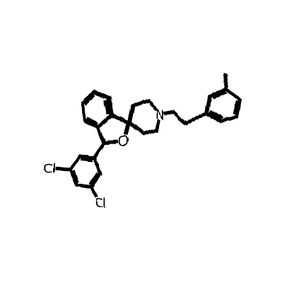 Cc1cccc(CCN2CCC3(CC2)OC(c2cc(Cl)cc(Cl)c2)c2ccccc23)c1